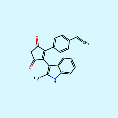 C=Cc1ccc(C2=C(c3c(C)[nH]c4ccccc34)C(=O)CC2=O)cc1